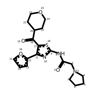 O=C(CN1CCCC1)Nc1nc(-c2ccco2)c(C(=O)C2CCOCC2)s1